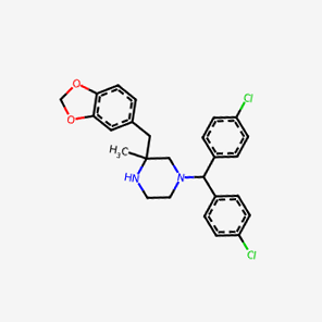 CC1(Cc2ccc3c(c2)OCO3)CN(C(c2ccc(Cl)cc2)c2ccc(Cl)cc2)CCN1